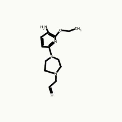 CCOc1nc(N2CCN(CC=O)CC2)ccc1N